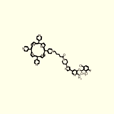 C[C@H](Oc1cc(-c2cnn(C3CCN(C(=O)CCCC[n+]4ccc(-c5c6nc(c(-c7ccncc7)c7ccc([nH]7)c(-c7ccncc7)c7nc(c(-c8ccncc8)c8ccc5[nH]8)C=C7)C=C6)cc4)CC3)c2)cnc1N)c1c(Cl)ccc(F)c1Cl